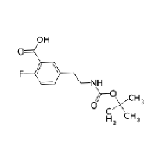 CC(C)(C)OC(=O)NCCc1ccc(F)c(C(=O)O)c1